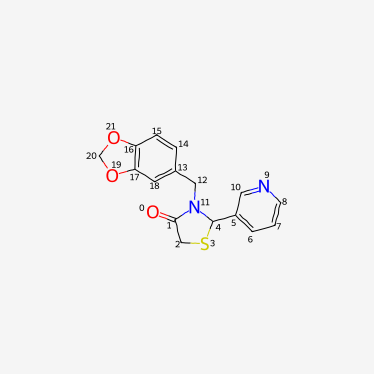 O=C1CSC(c2cccnc2)N1Cc1ccc2c(c1)OCO2